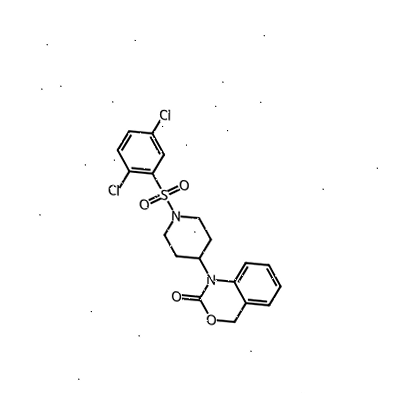 O=C1OCc2ccccc2N1C1CCN(S(=O)(=O)c2cc(Cl)ccc2Cl)CC1